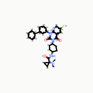 CN(C)C1(C(=O)NC2CCC(n3c(=O)c4cc(F)cnc4n(-c4cccc(-c5ccccc5)c4)c3=O)CC2)CC1